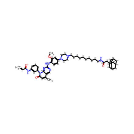 C=CC(=O)Nc1cccc(-n2c(=O)cc(C)c3cnc(Nc4ccc(N5CCN(CCCCCCCCCCNC(=O)CC67CC8CC(CC(C8)C6)C7)CC5)cc4OC)nc32)c1